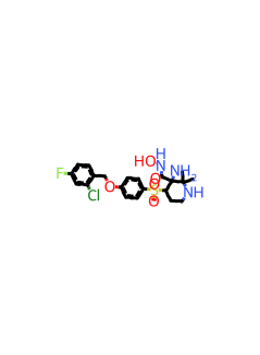 CC1(C)NCCC(S(=O)(=O)c2ccc(OCc3ccc(F)cc3Cl)cc2)C1(N)C(=O)NO